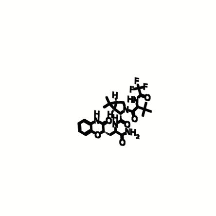 CC(C)(C)C(NC(=O)C(F)(F)F)C(=O)N1C[C@H]2[C@@H]([C@H]1C(=O)NC(C[C@@H]1Oc3ccccc3NC1=O)C(N)=O)C2(C)C